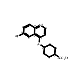 CCOC(=O)C1CCC(Oc2ccnc3ccc(F)cc23)CC1